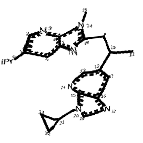 CC(C)c1cnc2c(c1)nc(CC(C)c1cnc3c(c1)ncn3C1CC1)n2C